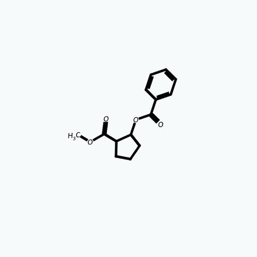 COC(=O)C1CCCC1OC(=O)c1ccccc1